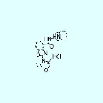 C[C@H]1COC[C@H](C)N1c1nc2c(C(=O)NC3CC4CCCC(C3)N4)cccc2o1.Cl